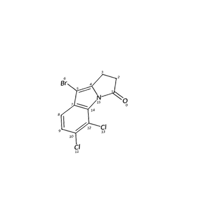 O=C1CCc2c(Br)c3ccc(Cl)c(Cl)c3n21